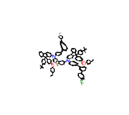 C=CC1=CCC(OC2=CCC(C3(C4C=CC(C(C)(C)C)=CC4)C4=C(C=CCC4)C4=C3CC(N(C3=CC5C(C=C3)SC3CCC(N(c6ccc(C7=CCCC(C8=CC=C(F)CC8)=C7)cc6)C6C=CC7c8ccccc8C(C8=CC=C(C(C)(C)C)CC8)(C8C=CC(OC9=CCC(C=C)C=C9)CC8)C7C6)=CC35)c3ccc(C5=CC(C6=CCC(F)C=C6)=CCC5)cc3)C=C4)C=C2)C=C1